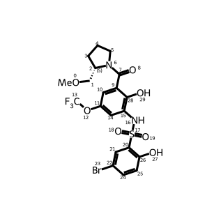 COC[C@@H]1CCCN1C(=O)c1cc(OC(F)(F)F)cc(NS(=O)(=O)c2cc(Br)ccc2O)c1O